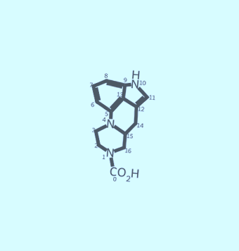 O=C(O)N1CCN2c3cccc4[nH]cc(c34)CC2C1